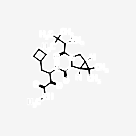 CNC(=O)C(=O)C(CC1CCC1)NC(=O)[C@@H]1[C@@H]2[C@H](CN1C(=O)[C@H](N)C(C)(C)C)C2(C)C